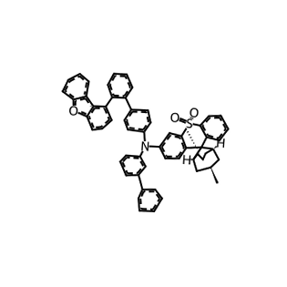 C[C@H]1C[C@@H]2C[C@@H](C)C[C@H](C1)C21c2ccccc2S(=O)(=O)c2cc(N(c3ccc(-c4ccccc4-c4cccc5oc6ccccc6c45)cc3)c3cccc(-c4ccccc4)c3)ccc21